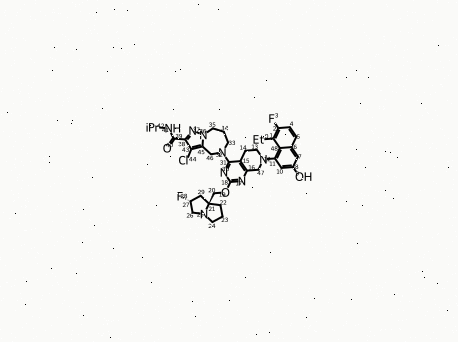 CCc1c(F)ccc2cc(O)cc(N3CCc4c(nc(OC[C@@]56CCCN5C[C@H](F)C6)nc4N4CCCn5nc(C(=O)NC(C)C)c(Cl)c5C4)C3)c12